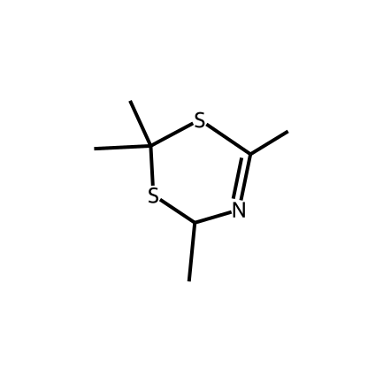 CC1=NC(C)SC(C)(C)S1